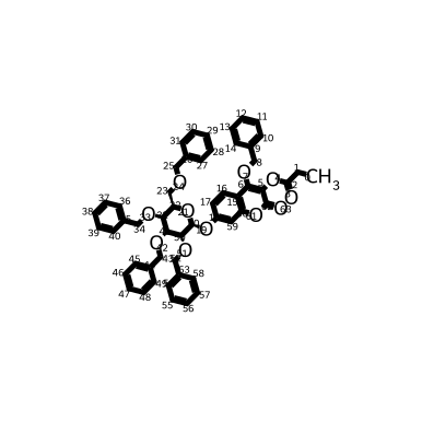 CCC(=O)Oc1c(OCc2ccccc2)c2ccc(O[C@@H]3O[C@H](COCc4ccccc4)[C@H](OCc4ccccc4)[C@H](OCc4ccccc4)[C@H]3OCc3ccccc3)cc2oc1=O